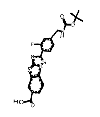 CC(C)(C)OC(=O)NCc1ccc(-c2nc3sc4cc(C(=O)O)ccc4n3n2)c(F)c1